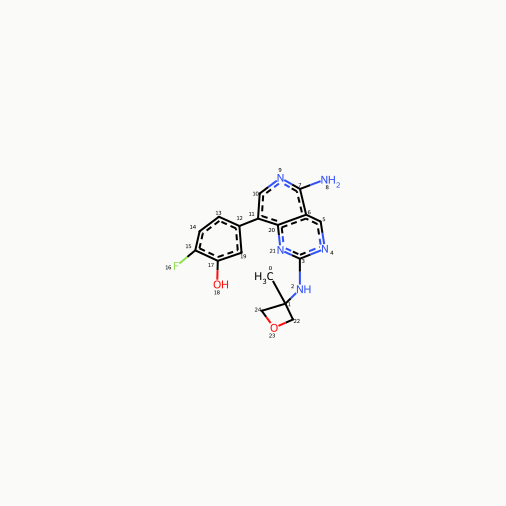 CC1(Nc2ncc3c(N)ncc(-c4ccc(F)c(O)c4)c3n2)COC1